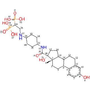 C[C@]12CCC3c4ccc(O)cc4CCC3C1CC[C@]2(O)C(=O)NC1CCC(NCC(P(=O)(O)O)P(=O)(O)O)CC1